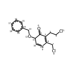 O=C1C(CCCl)=C(CCl)N=CC1OCc1ccccc1